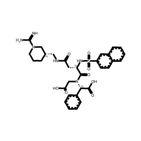 N=C(N)N1CCC[C@@H](CNC(=O)C[C@H](NS(=O)(=O)c2ccc3ccccc3c2)C(=O)N(CC(=O)O)[C@H](C(=O)O)c2ccccc2)C1